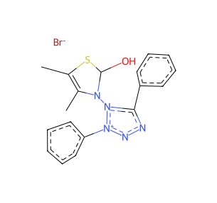 CC1=C(C)N(n2c(-c3ccccc3)nn[n+]2-c2ccccc2)C(O)S1.[Br-]